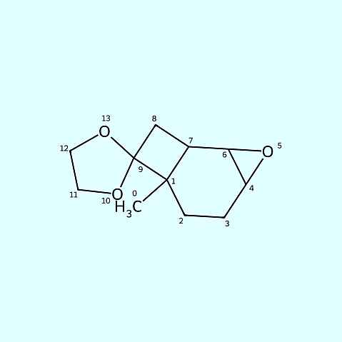 CC12CCC3OC3C1CC21OCCO1